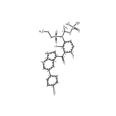 CCCS(=O)(=O)N(c1ccc(F)c(C(=O)c2c[nH]c3ncc(-c4ccc(Cl)cc4)cc23)c1F)C(C)OP(=O)(O)O